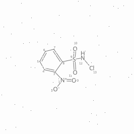 O=[N+]([O-])c1ccccc1S(=O)(=O)NCl